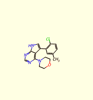 Cc1ccc(Cl)c(-c2c[nH]c3ncnc(N4CCOCC4)c23)c1